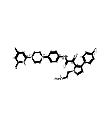 COCCn1ccc(-c2ccc(Cl)cc2)c1C(=O)C(=O)Nc1ccc(N2CCN(c3cc(C)cc(C)n3)CC2)cc1